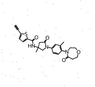 C#Cc1ccc(C(=O)NC2(C)CC(=O)N(c3ccc(N4CCOCCC4=O)c(C)c3)C2)s1